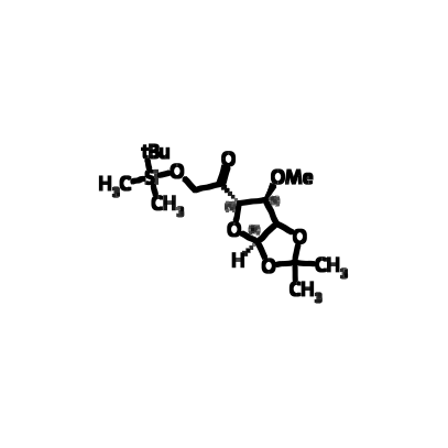 CO[C@H]1C2OC(C)(C)O[C@H]2O[C@@H]1C(=O)CO[Si](C)(C)C(C)(C)C